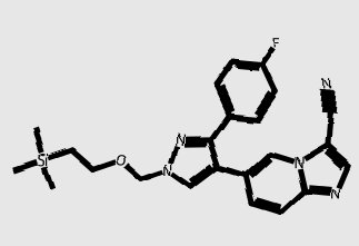 C[Si](C)(C)CCOCn1cc(-c2ccc3ncc(C#N)n3c2)c(-c2ccc(F)cc2)n1